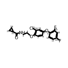 O=C(NCCOc1ccc(Oc2ccc(F)cc2F)cc1Cl)C1CC1